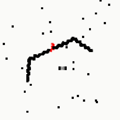 CCCCCCCC/C=C\CCCCCCCCOC(=O)CCCCCCC/C=C\CCCCCCCC.[NaH]